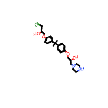 CC(C)(c1ccc(OC[C@@H](O)CN2CCNCC2)cc1)c1ccc(OC[C@@H](O)CCl)cc1